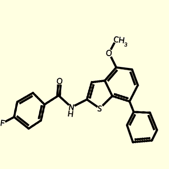 COc1ccc(-c2ccccc2)c2sc(NC(=O)c3ccc(F)cc3)cc12